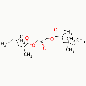 CCC(C)CC(C)C(=O)OCC(=O)COC(=O)C(C)CC(C)(C)CC